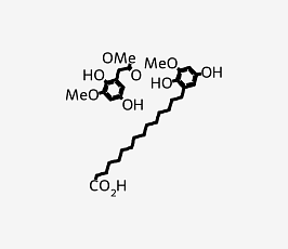 COC(=O)Cc1cc(O)cc(OC)c1O.COc1cc(O)cc(CCCCCCCCCCCCCCC(=O)O)c1O